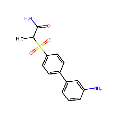 CC(C(N)=O)S(=O)(=O)c1ccc(-c2cccc(N)c2)cc1